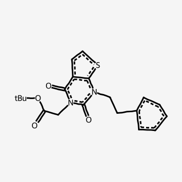 CC(C)(C)OC(=O)Cn1c(=O)c2ccsc2n(CCc2ccccc2)c1=O